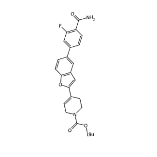 CC(C)(C)OC(=O)N1CC=C(c2cc3cc(-c4ccc(C(N)=O)c(F)c4)ccc3o2)CC1